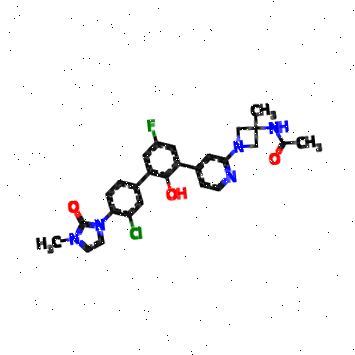 CC(=O)NC1(C)CN(c2cc(-c3cc(F)cc(-c4ccc(-n5ccn(C)c5=O)c(Cl)c4)c3O)ccn2)C1